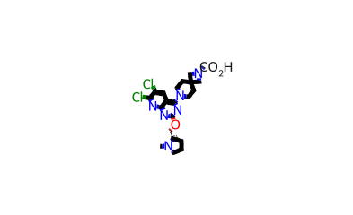 CN1CCC[C@H]1COc1nc(N2CCC3(CC2)CN(C(=O)O)C3)c2cc(Cl)c(Cl)nc2n1